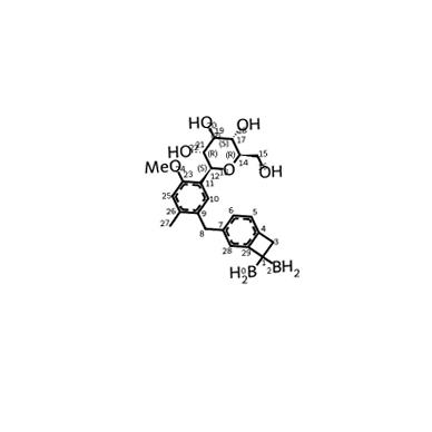 BC1(B)Cc2ccc(Cc3cc([C@@H]4O[C@H](CO)[C@@H](O)[C@H](O)[C@H]4O)c(OC)cc3C)cc21